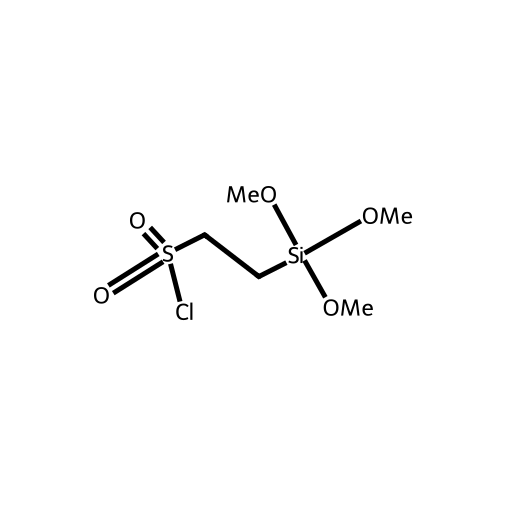 CO[Si](CCS(=O)(=O)Cl)(OC)OC